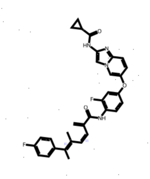 C=C(/C=C\C(C)=C(/C)c1ccc(F)cc1)C(=O)Nc1ccc(Oc2ccc3nc(NC(=O)C4CC4)cn3c2)cc1F